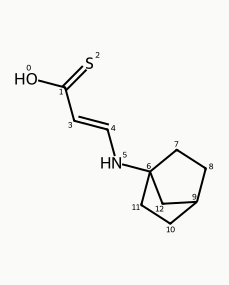 OC(=S)C=CNC12CCC(CC1)C2